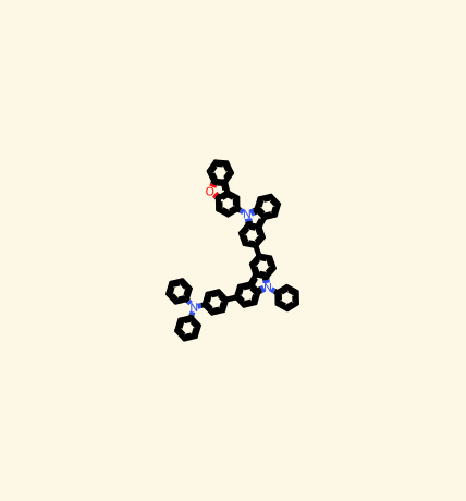 c1ccc(N(c2ccccc2)c2ccc(-c3ccc4c(c3)c3cc(-c5ccc6c(c5)c5ccccc5n6-c5ccc6oc7ccccc7c6c5)ccc3n4-c3ccccc3)cc2)cc1